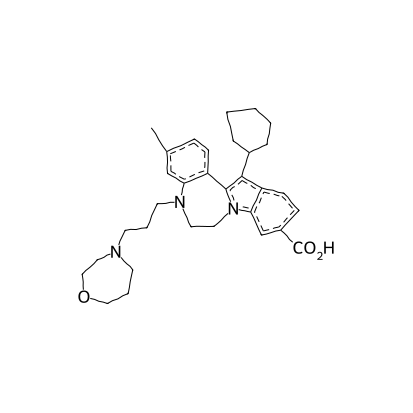 Cc1ccc2c(c1)N(CCCN1CCCOCC1)CCn1c-2c(C2CCCCC2)c2ccc(C(=O)O)cc21